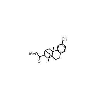 COC(=O)C1CC2C3Cc4ccc(O)cc4[C@@]2(C)CC1N3C